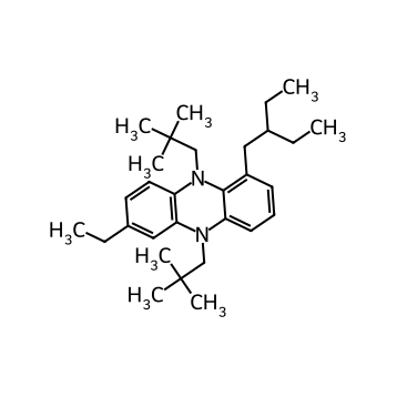 CCc1ccc2c(c1)N(CC(C)(C)C)c1cccc(CC(CC)CC)c1N2CC(C)(C)C